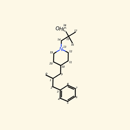 CC(Cc1ccccc1)CC1CCN(CC(C)(C)C=O)CC1